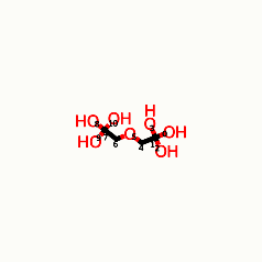 OC(O)(O)COCC(O)(O)O